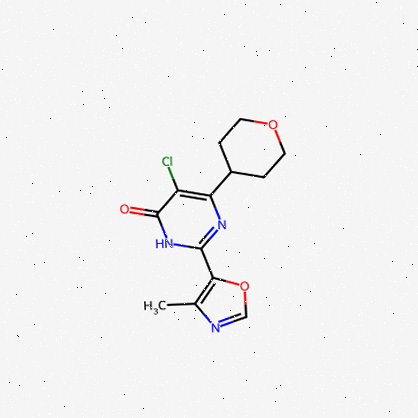 Cc1ncoc1-c1nc(C2CCOCC2)c(Cl)c(=O)[nH]1